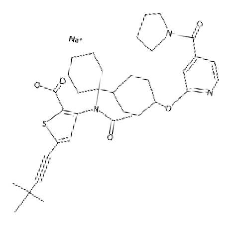 CC(=O)N(c1cc(C#CC(C)(C)C)sc1C(=O)[O-])C1(C2CCC(Oc3cc(C(=O)N4CCCC4)ccn3)CC2)CCCCC1.[Na+]